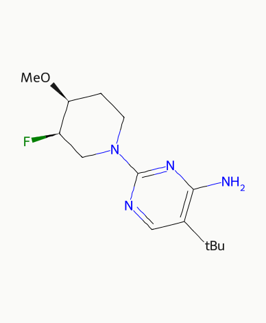 CO[C@H]1CCN(c2ncc(C(C)(C)C)c(N)n2)C[C@H]1F